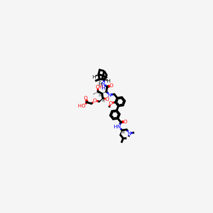 COc1c(CN2O[C@@H](COCC(=O)O)[C@H]([C@H](C)O)C2C(=O)N[C@H]2CC3C[C@@H]([C@@H]2C)C3(C)C)cccc1-c1cccc(C(=O)N[C@H](CC(C)C)CN(C)C)c1